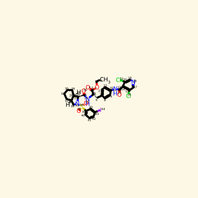 CCOC(=O)[C@H](Cc1ccc(NC(=O)c2c(Cl)cncc2Cl)cc1)NC(=O)[C@@H]1[C@@H]2CCCC[C@@H]2CN1S(=O)(=O)c1cccc(I)c1